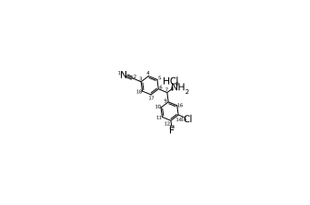 Cl.N#Cc1ccc(C(N)c2ccc(F)c(Cl)c2)cc1